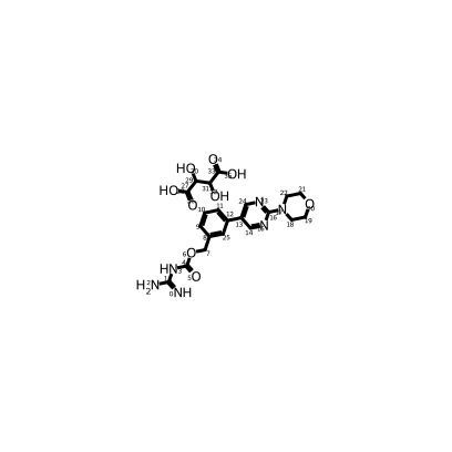 N=C(N)NC(=O)OCc1cccc(-c2cnc(N3CCOCC3)nc2)c1.O=C(O)C(O)C(O)C(=O)O